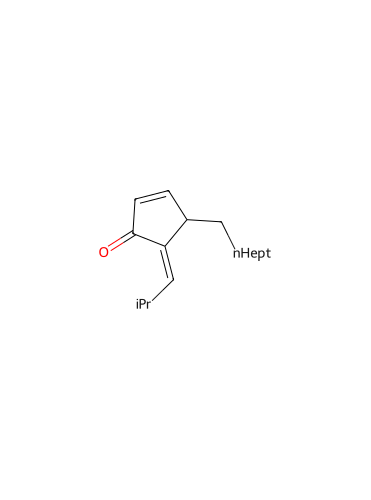 CCCCCCCCC1C=CC(=O)C1=CC(C)C